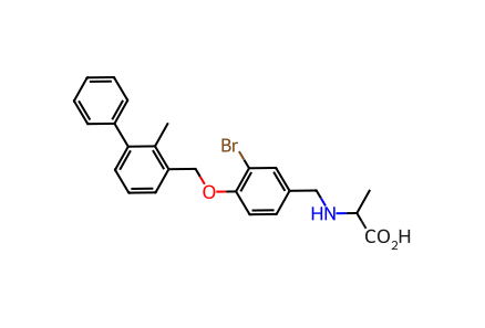 Cc1c(COc2ccc(CNC(C)C(=O)O)cc2Br)cccc1-c1ccccc1